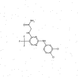 NC(=O)CNc1nc(Nc2ccc(Cl)c(Cl)c2)ncc1C(F)(F)F